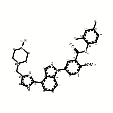 COc1ncc(-n2ncc3c(-c4ncc(CN5CCN(C(C)C)CC5)o4)cccc32)cc1C(=O)Oc1ccc(C)cc1C